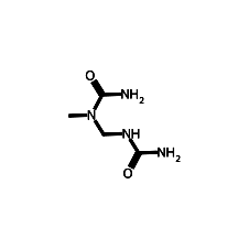 CN(CNC(N)=O)C(N)=O